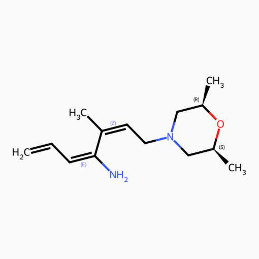 C=C/C=C(N)\C(C)=C/CN1C[C@@H](C)O[C@@H](C)C1